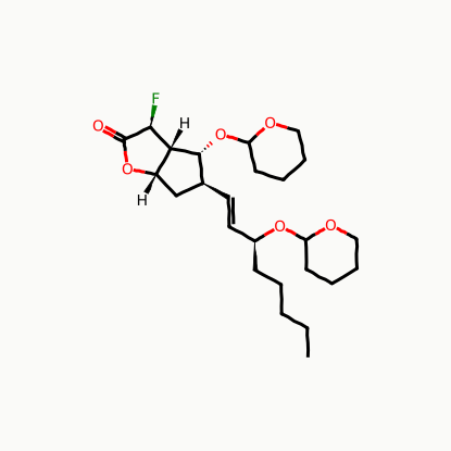 CCCCC[C@@H](C=C[C@H]1C[C@@H]2OC(=O)[C@@H](F)[C@@H]2[C@@H]1OC1CCCCO1)OC1CCCCO1